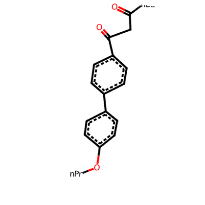 CCCCC(=O)CC(=O)c1ccc(-c2ccc(OCCC)cc2)cc1